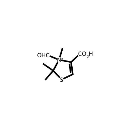 CC1(C)SC=C(C(=O)O)[N+]1(C)C=O